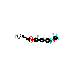 C/C=C/CCC1COC(c2ccc(-c3ccc(C4CCC(C(F)(F)Oc5cc(F)c(F)c(F)c5)CC4)c(F)c3)c(F)c2)OC1